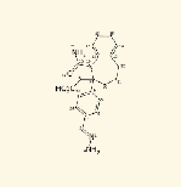 NN=Cc1ccc(C2(CC(=O)O)CCCc3ccccc3N2C(N)=O)cc1